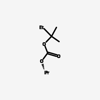 [CH2][C@@H](C)OC(=O)OC(C)(C)CC